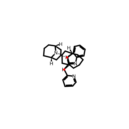 c1ccc(Cc2nc3ccccc3n2[C@H]2C[C@H]3CCC[C@@H](C2)N3[C@@H]2C[C@@H]3CCCC[C@@H](C3)C2)nc1